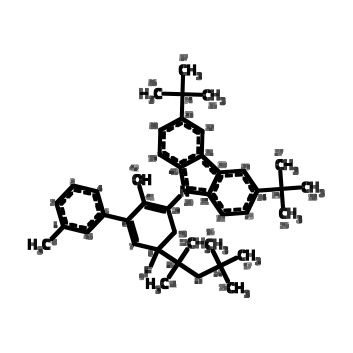 Cc1cccc(C2=CC(F)(C(C)(C)CC(C)(C)C)CC(n3c4ccc(C(C)(C)C)cc4c4cc(C(C)(C)C)ccc43)=C2O)c1